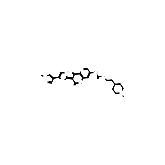 CN1CCC(CCNC(=O)Nc2cnc3c(c2)[nH]c(=O)c2c3nn3cc(-c4cnn(C)c4)sc23)CC1